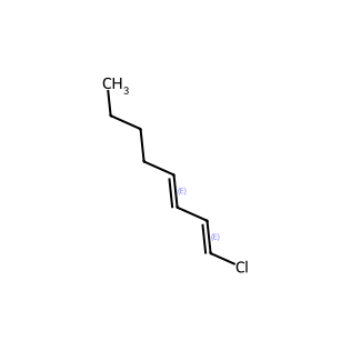 CCCC/C=C/C=C/Cl